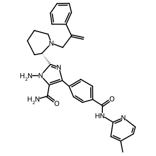 C=C(CN1CCCC[C@H]1c1nc(-c2ccc(C(=O)Nc3cc(C)ccn3)cc2)c(C(N)=O)n1N)c1ccccc1